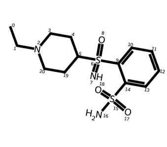 CCN1CCC(S(=N)(=O)c2ccccc2S(N)(=O)=O)CC1